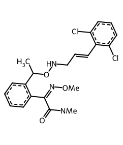 CNC(=O)C(=NOC)c1ccccc1C(C)ONCC=Cc1c(Cl)cccc1Cl